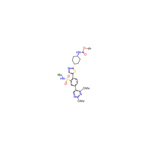 COc1ncc(-c2ccc(-c3cnc([C@H]4CC[C@H](NC(=O)OC(C)C)CC4)s3)c(S(=O)(=O)NC(C)(C)C)c2)c(OC)n1